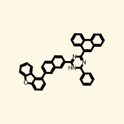 c1ccc(C2N=C(c3cc4ccccc4c4ccccc34)N=C(c3ccc4ccc(-c5cccc6oc7ccccc7c56)cc4c3)N2)cc1